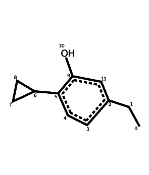 CCc1ccc(C2CC2)c(O)c1